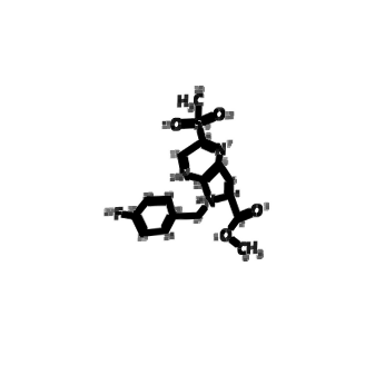 COC(=O)c1cc2nc(S(C)(=O)=O)cnc2n1Cc1ccc(F)cc1